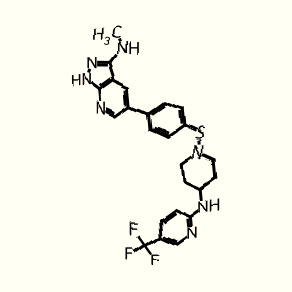 CNc1n[nH]c2ncc(-c3ccc(SN4CCC(Nc5ccc(C(F)(F)F)cn5)CC4)cc3)cc12